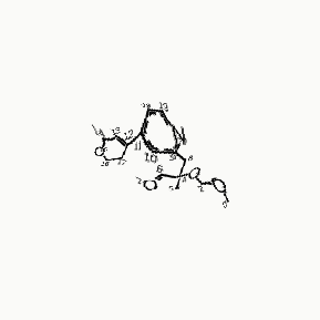 COCO[C@](C)(C=O)Cc1cc(C2=CCOCC2)ccn1